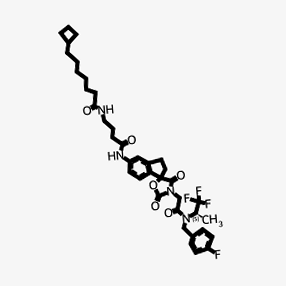 C[C@H](N(Cc1ccc(F)cc1)C(=O)CN1C(=O)OC2(CCc3cc(NC(=O)CCCNC(=O)CCCCCCC4CCC4)ccc32)C1=O)C(F)(F)F